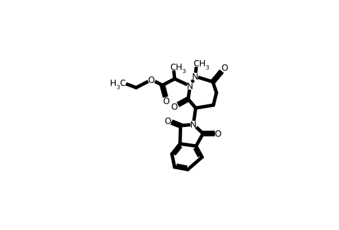 CCOC(=O)C(C)N1C(=O)C(N2C(=O)c3ccccc3C2=O)CCC(=O)N1C